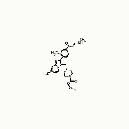 CNCCC(=O)c1ccc(-c2nc3cc(C)ccn3c2CC2CCN(C(=O)OC)CC2)c(C)c1